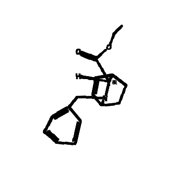 CCOC(=O)[C@@H]1C2C=CC(CC2)N1Cc1ccccc1